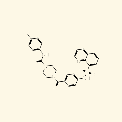 O=C(Nc1ccc(Cl)cc1)N1CCN(C(=O)c2ccc(NS(=O)(=O)c3cccc4cccnc34)cc2)CC1